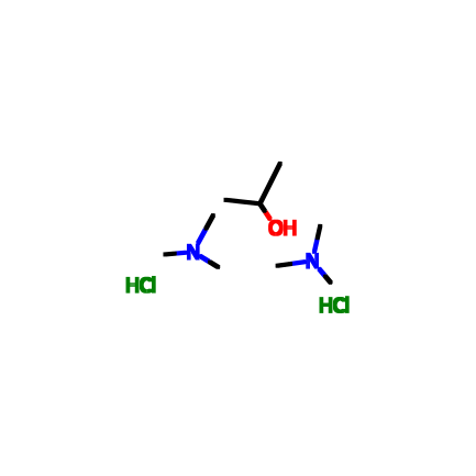 CC(C)O.CN(C)C.CN(C)C.Cl.Cl